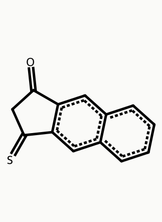 O=C1CC(=S)c2cc3ccccc3cc21